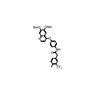 COc1cc2nccc(Oc3ccc(NC(=O)Cc4ccc(C)c(C(F)(F)F)c4)cc3)c2cc1OC